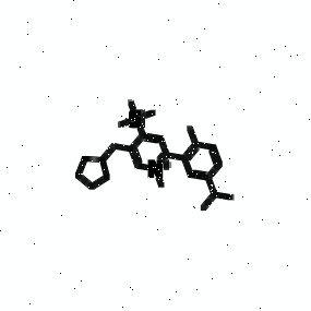 Cc1ccc(C(C)C)cc1-c1cc([Si](C)(C)C)c(CC2CCCC2)c[n+]1C